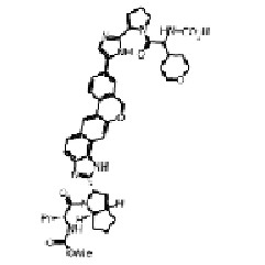 COC(=O)N[C@H](C(=O)N1[C@H](c2nc3ccc4cc5c(cc4c3[nH]2)OCc2cc(-c3cnc(C4CCCN4C(=O)[C@@H](NC(=O)O)C4CCOCC4)[nH]3)ccc2-5)C[C@@H]2CCC[C@@H]21)C(C)C